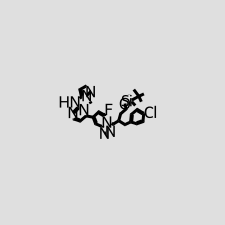 Cn1nccc1Nc1nccc(-c2cc(F)n3c(C(CCO[Si](C)(C)C(C)(C)C)Cc4ccc(Cl)cc4)nnc3c2)n1